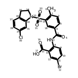 Cc1ccc(C(=O)Nc2ccc(Br)cc2C(=O)O)cc1S(=O)(=O)N1CCc2ccc(Cl)cc21